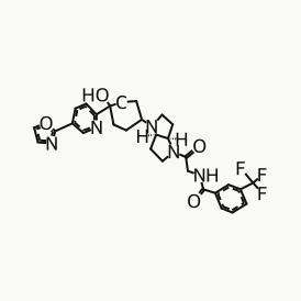 O=C(NCC(=O)N1CC[C@@H]2[C@H]1CCN2C1CCC(O)(c2ccc(-c3ncco3)cn2)CC1)c1cccc(C(F)(F)F)c1